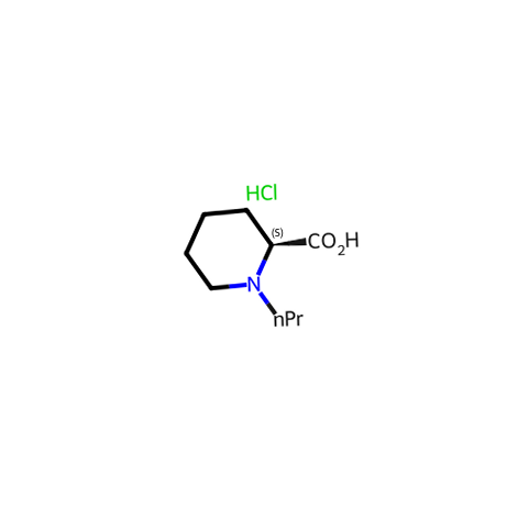 CCCN1CCCC[C@H]1C(=O)O.Cl